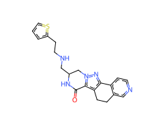 O=C1NC(CNCCc2cccs2)Cn2nc3c(c21)CCc1cnccc1-3